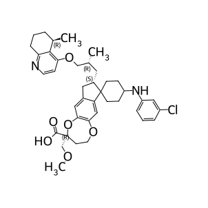 COC[C@@]1(C(=O)O)CCOc2cc3c(cc2O1)C[C@H](C[C@@H](C)COc1ccnc2c1[C@H](C)CCC2)C31CCC(Nc2cccc(Cl)c2)CC1